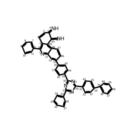 N=C1C=Cc2c(-c3ccccc3)nc3cc(-c4ccc(-c5nc(-c6ccccc6)nc(-c6ccc(-c7ccccc7)cc6)n5)cc4)ccc3c2C1=N